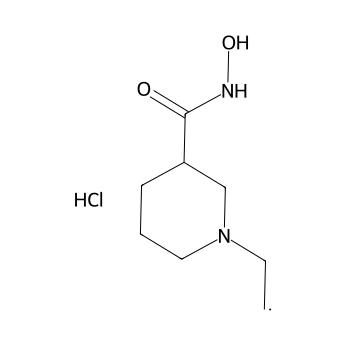 Cl.[CH2]CN1CCCC(C(=O)NO)C1